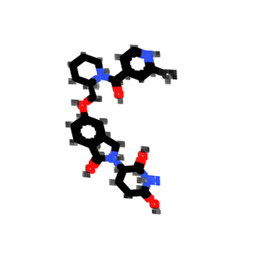 N#Cc1cc(C(=O)N2CCCC[C@@H]2COc2ccc3c(c2)CN(C2CCC(=O)NC2=O)C3=O)ccn1